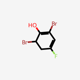 OC1=C(Br)C=C(F)CC1Br